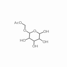 CC(=O)OCOC1OC(O)C(O)C(O)C1O